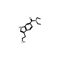 CCN(CC)C(=O)c1ccc2c(CCO)c[nH]c2c1